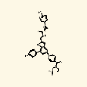 Nc1ccc([C@H]2C[C@@H]2C(=O)NCc2cc3cc(-c4ccc(C(=O)N5CCC(F)(F)C5)cc4)cc(-c4ccc(F)cc4)c3o2)cn1